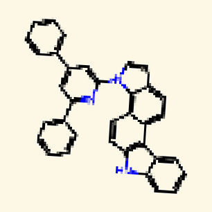 c1ccc(-c2cc(-c3ccccc3)nc(-n3ccc4ccc5c(ccc6[nH]c7ccccc7c65)c43)c2)cc1